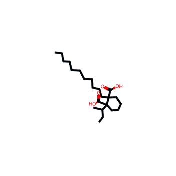 CCCCCCCCCCCC1(C(=O)O)CCCCC1(C(=O)O)C(C)CC